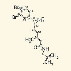 C=C(C)CNC(=O)/C=C(C)/C=C/C1[C@H](F)[C@H]1c1ccc(Br)c(Br)c1